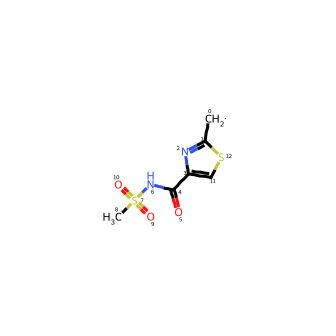 [CH2]c1nc(C(=O)NS(C)(=O)=O)cs1